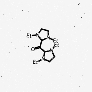 CCN1CCN(CC)C1C(=O)C1N(CC)CCN1CC